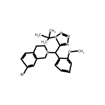 COc1ccccc1C(c1nnnn1C(C)(C)C)N1CCc2ccc(Br)cc2C1